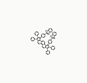 c1ccc(-c2c(-c3ccccc3)n(-c3ccc(-c4nc5ccccc5o4)cc3)c3c2ccc2c4ccc5c(-c6ccccc6)c(-c6ccccc6)n(-c6ccc(-c7nc8ccccc8o7)cc6)c5c4ccc23)cc1